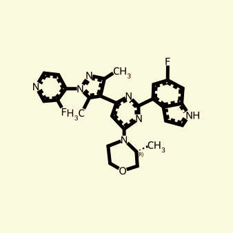 Cc1nn(-c2ccncc2F)c(C)c1-c1cc(N2CCOC[C@H]2C)nc(-c2cc(F)cc3[nH]ccc23)n1